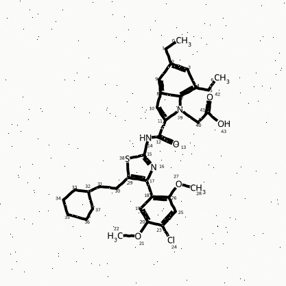 CCc1cc(CC)c2c(c1)cc(C(=O)Nc1nc(-c3cc(OC)c(Cl)cc3OC)c(CCC3CCCCC3)s1)n2CC(=O)O